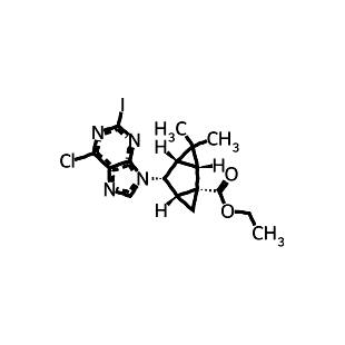 CCOC(=O)[C@]12C[C@@H]1[C@H](n1cnc3c(Cl)nc(I)nc31)[C@H]1[C@@H]2C1(C)C